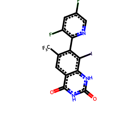 O=c1[nH]c(=O)c2cc(C(F)(F)F)c(-c3ncc(F)cc3F)c(I)c2[nH]1